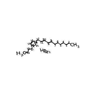 Br.CCCCCCCCCCCCN1C=CN(CCCC)C1